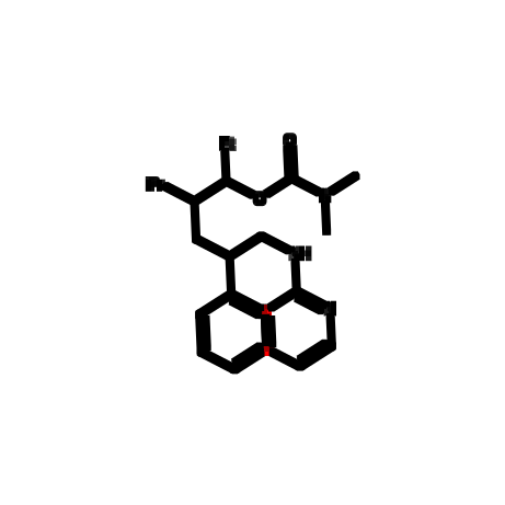 CCC(OC(=O)N(C)C)C(CC(CNc1ncccn1)c1ccccc1)C(C)C